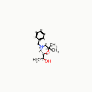 C[C@H](O)[C@@H]1CN(Cc2ccccc2)CC(C)(C)O1